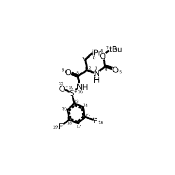 CC(C)CC(NC(=O)OC(C)(C)C)C(=O)N[S+]([O-])c1cc(F)cc(F)c1